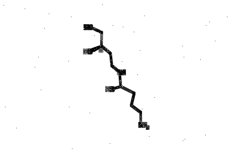 NCCCC(O)NCC[C@@H](O)CO